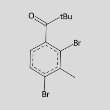 Cc1c(Br)ccc(C(=O)C(C)(C)C)c1Br